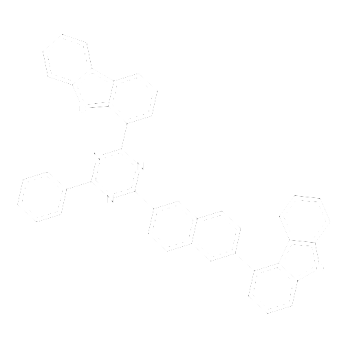 c1ccc(-c2nc(-c3ccc4cc(-c5cccc6oc7ccccc7c56)ccc4c3)nc(-c3cccc4c3oc3ccccc34)n2)cc1